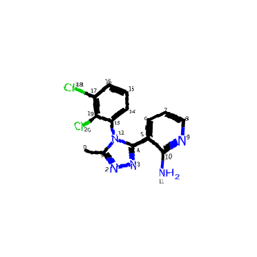 Cc1nnc(-c2cccnc2N)n1-c1cccc(Cl)c1Cl